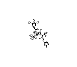 Cc1nnc(SCC2=C(C(=O)O)N3C(=O)[C@@H](NC(=O)Cn4cc(Cl)c(=O)c(Cl)c4)[C@H]3SC2)s1.O=P(O)(O)O